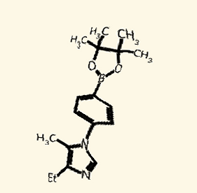 CCc1ncn(-c2ccc(B3OC(C)(C)C(C)(C)O3)cc2)c1C